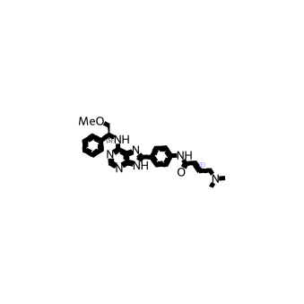 COC[C@@H](Nc1ncnc2[nH]c(-c3ccc(NC(=O)/C=C/CN(C)C)cc3)nc12)c1ccccc1